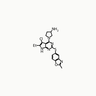 CCc1[nH]c2nc(Sc3ccc4oc(C)nc4c3)nc(N3CCC(N)C3)c2c1Cl